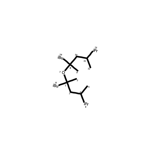 CCC(C)C(C)(CC(C)C(C)C)OC(C)(CC(C)C(C)C)C(C)CC